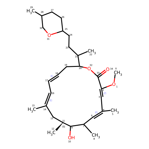 CO/C1=C\C(C)=C\C(C)C(O)[C@@H](C)C/C(C)=C/C=C/CC(C(C)CCC2CCC(C)CO2)OC1=O